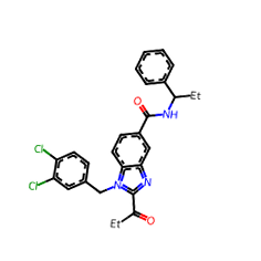 CCC(=O)c1nc2cc(C(=O)NC(CC)c3ccccc3)ccc2n1Cc1ccc(Cl)c(Cl)c1